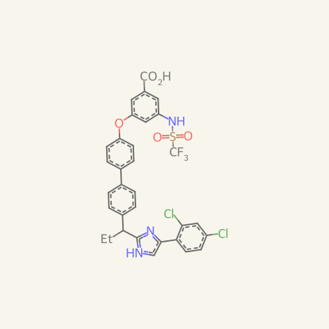 CCC(c1ccc(-c2ccc(Oc3cc(NS(=O)(=O)C(F)(F)F)cc(C(=O)O)c3)cc2)cc1)c1nc(-c2ccc(Cl)cc2Cl)c[nH]1